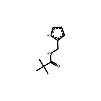 CC(C)(C)C(=O)NCc1ccc[nH]1